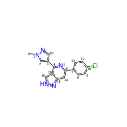 Cn1cc(-c2nc(-c3ccc(Cl)cc3)cc3n[nH]cc23)cn1